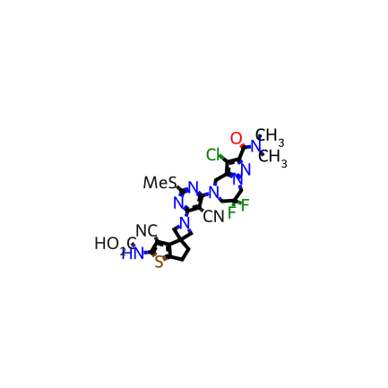 CSc1nc(N2Cc3c(Cl)c(C(=O)N(C)C)nn3CC(F)(F)C2)c(C#N)c(N2CC3(CCc4sc(NC(=O)O)c(C#N)c43)C2)n1